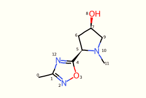 Cc1noc([C@H]2C[C@@H](O)CN2C)n1